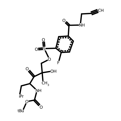 C#CCNC(=O)c1ccc(F)c(S(=O)(=O)OCC(C)(O)C(=O)C(CC(C)C)NC(=O)OC(C)(C)C)c1